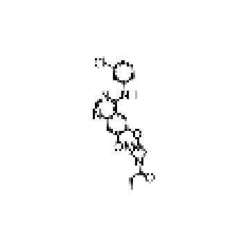 C=CC(=O)N1CC(Oc2cc3c(Nc4cccc(Cl)c4)ncnc3cc2OC)C1